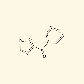 O=C(c1cc[c]nc1)c1ncno1